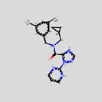 O=C(c1ncnn1-c1ncccn1)N(Cc1cc(C(F)(F)F)cc(C(F)(F)F)c1)CC1CC1